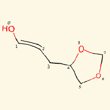 OC=CCC1COCO1